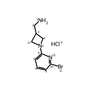 Cl.NCC1CN(c2cccc(Br)n2)C1